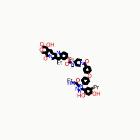 CCNC(=O)c1nnc(-c2cc(C(C)C)c(O)cc2O)n1-c1ccc(Oc2ccc(C(=O)N3CCC(CC)(N(C)C(=O)Oc4ccc5nc6c(c(CC)c5c4)Cn4c-6cc5c(c4=O)COC(=O)C5O)CC3)cc2)cc1